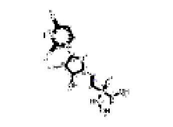 O=c1ccn([C@@H]2O[C@H](/C=C/P(=O)(NO)NO)[C@@H](O)[C@H]2F)c(=O)[nH]1